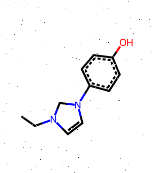 CCN1C=CN(c2ccc(O)cc2)C1